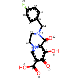 O=C(O)c1cn2c(c(O)c1=O)C(=O)N(Cc1ccc(F)cc1)CC2